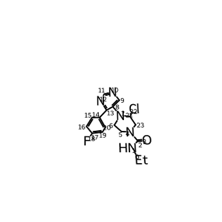 CCNC(=O)N1CCN(c2cncnc2-c2ccc(F)cc2)[C@@H](Cl)C1